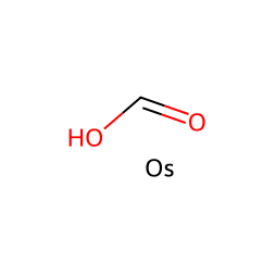 O=CO.[Os]